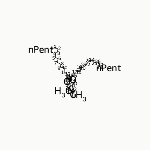 CCCCC/C=C\C/C=C\CCCCCCCCC1(CCCCCCCC/C=C\C/C=C\CCCCC)OCC(CN(C)C)CO1